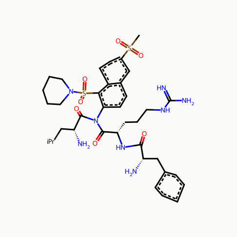 CC(C)C[C@@H](N)C(=O)N(C(=O)[C@H](CCCNC(=N)N)NC(=O)[C@@H](N)Cc1ccccc1)c1ccc2cc(S(C)(=O)=O)ccc2c1S(=O)(=O)N1CCCCC1